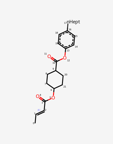 C/C=C/C(=O)OC1CCC(C(=O)Oc2ccc(CCCCCCC)cc2)CC1